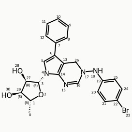 C[C@H]1O[C@@H](n2cc(-c3ccccc3)c3c2N=CN(Nc2ccc(Br)cc2)C3)[C@H](O)[C@@H]1O